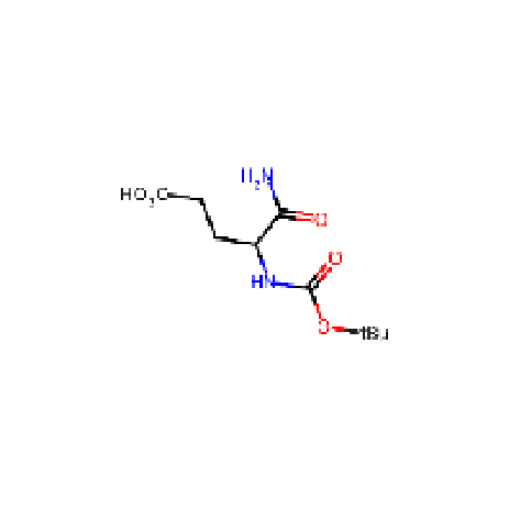 CC(C)(C)OC(=O)NC(CCC(=O)O)C(N)=O